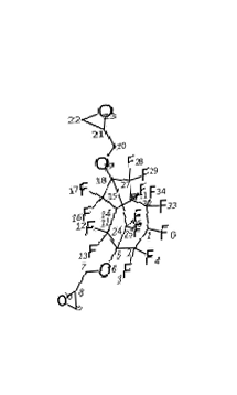 FC1C(F)(F)C2(OCC3CO3)C(F)(F)C3C(F)(F)C(OCC4CO4)(C2(F)F)C(F)(F)[C@]3(F)C1(F)F